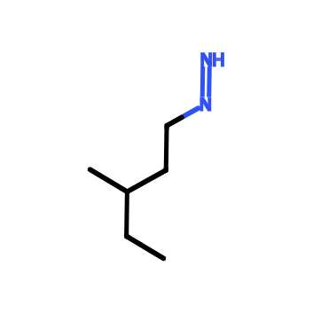 CCC(C)CCN=N